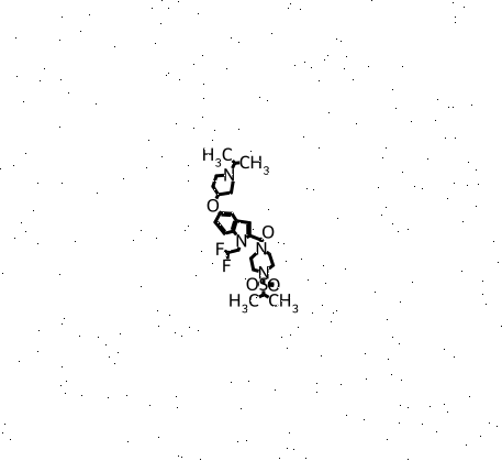 CC(C)N1CCC(Oc2ccc3c(c2)cc(C(=O)N2CCN(S(=O)(=O)C(C)C)CC2)n3CC(F)F)CC1